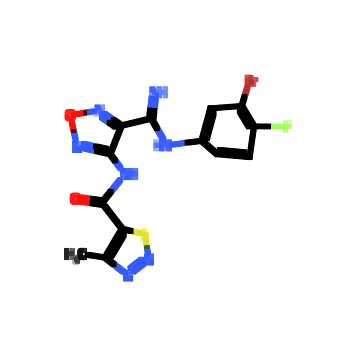 Cc1nnsc1C(=O)Nc1nonc1C(=N)Nc1ccc(F)c(Br)c1